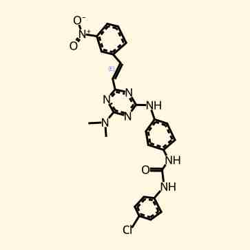 CN(C)c1nc(/C=C/c2cccc([N+](=O)[O-])c2)nc(Nc2ccc(NC(=O)Nc3ccc(Cl)cc3)cc2)n1